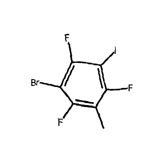 Cc1c(F)c(Br)c(F)c(I)c1F